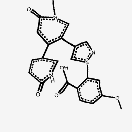 COc1ccc(C(=O)O)c(-n2cc(-c3cn(C)c(=O)cc3-c3ccc(=O)[nH]c3)cn2)c1